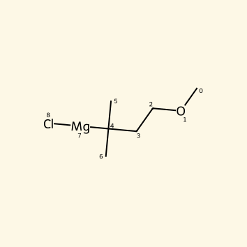 COCC[C](C)(C)[Mg][Cl]